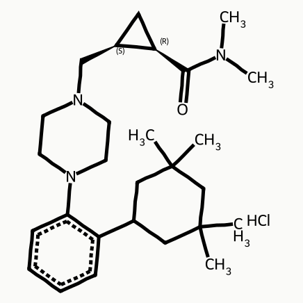 CN(C)C(=O)[C@@H]1C[C@@H]1CN1CCN(c2ccccc2C2CC(C)(C)CC(C)(C)C2)CC1.Cl